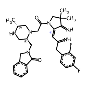 C[C@@H]1CN(CC(=O)N2CC(C)(C)C(=N)/C2=C\C(=N)Cc2ccc(F)cc2F)[C@@H](CN2Cc3ccccc3C2=O)CN1